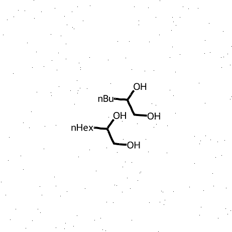 CCCCC(O)CO.CCCCCCC(O)CO